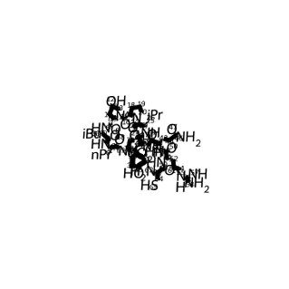 CCC[C@H](NC(=O)[C@@H](NC(=O)[C@@H]1C[C@@H](O)CN1C(=O)[C@@H]1CCCN1C(=O)[C@H](CC(C)C)NC(=O)[C@H](Cc1ccc(O)cc1)NC(=O)[C@H](CCC(N)=O)NC(=O)[C@H](CCCNC(=N)N)NC(=O)[C@@H](N)CS)[C@@H](C)CC)C(=O)N[C@@H](CS)C(=O)O